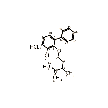 CC(CCOc1c(Cl)cccc1-c1ccccc1)N(C)C.Cl